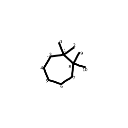 CC1(C)[CH]CCCCC1(C)C